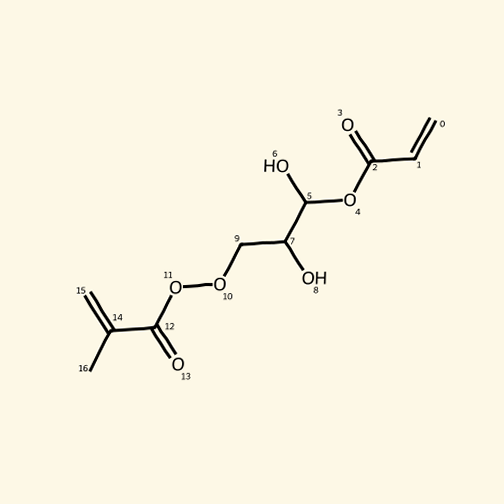 C=CC(=O)OC(O)C(O)COOC(=O)C(=C)C